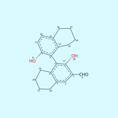 O=Cc1cc2c(c(-c3c(O)ccc4c3CCCC4)c1O)CCCC2